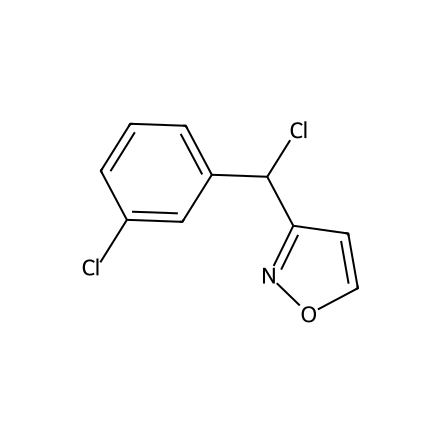 Clc1cccc(C(Cl)c2ccon2)c1